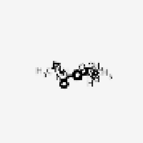 C[C@@H]1Oc2cc(-c3nc(N4CC[C@@H]4C)nc4c3CCC4)ccc2[C@@H]1NS(C)(=O)=O